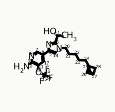 CC(O)c1nc(-c2cnc(N)c(OC(F)(F)F)c2)cn1CCCCCC12CC(C1)C2